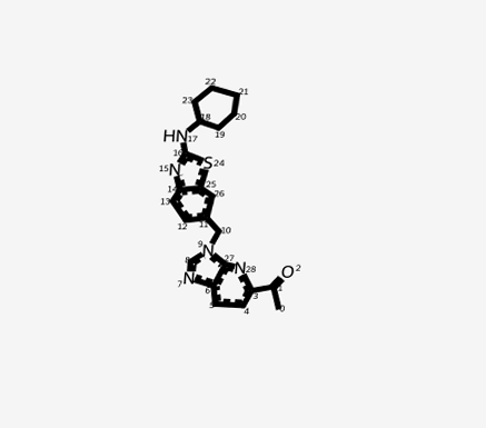 CC(=O)c1ccc2ncn(Cc3ccc4nc(NC5CCCCC5)sc4c3)c2n1